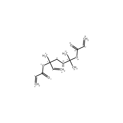 C=CC(=O)OC(C)(C=C)CNC(C)(C)OC(=O)C=C